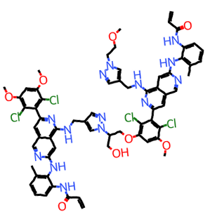 C=CC(=O)Nc1cccc(C)c1Nc1cc2c(NCc3cnn(C(CO)COc4cc(OC)c(Cl)c(-c5cc6cnc(Nc7c(C)cccc7NC(=O)C=C)cc6c(NCc6cnn(CCOC)c6)n5)c4Cl)c3)nc(-c3c(Cl)c(OC)cc(OC)c3Cl)cc2cn1